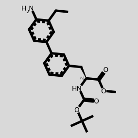 CCc1cc(-c2cccc(C[C@H](NC(=O)OC(C)(C)C)C(=O)OC)c2)ccc1N